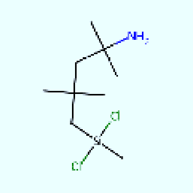 CC(C)(N)CC(C)(C)C[Si](C)(Cl)Cl